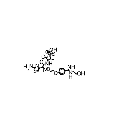 CC1C(NC(=O)C(=NOCCOc2ccc(C(=N)NCCO)cc2)c2csc(N)n2)C(=O)N1S(=O)(=O)O